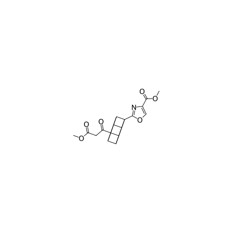 COC(=O)CC(=O)C12C3C4C1C1C2C3C41c1nc(C(=O)OC)co1